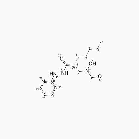 CCCCC[C@H](CN(O)C=O)C(=O)NNc1ncccn1